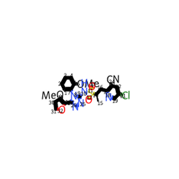 COc1cccc(OC)c1-n1c(NS(=O)(=O)[C@H](C)Cc2ncc(Cl)cc2C#N)nnc1-c1ccco1